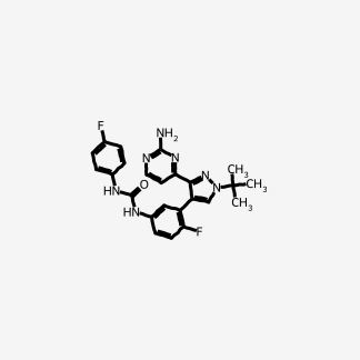 CC(C)(C)n1cc(-c2cc(NC(=O)Nc3ccc(F)cc3)ccc2F)c(-c2ccnc(N)n2)n1